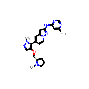 Cc1cc(Nc2cc3cc(-c4c(OC[C@H]5CCCN5C)cnn4C)ccn3n2)ncn1